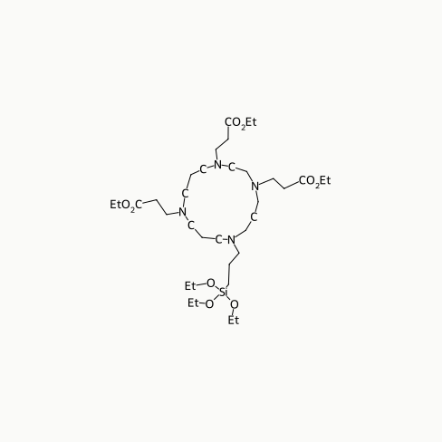 CCOC(=O)CCN1CCCN(CCC[Si](OCC)(OCC)OCC)CCCN(CCC(=O)OCC)CCN(CCC(=O)OCC)CCC1